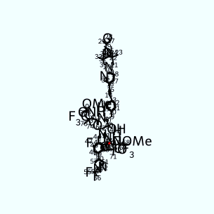 COC(=O)N[C@H](C(=O)N[C@@H](Cc1ccc(C#Cc2ccc(N3CC4(C)CN(C5COC5)CC(C)(C3)C4=O)nc2)cc1)[C@@H](O)CN(Cc1c(F)cc(-c2cnn(C(F)F)c2)cc1F)NC(=O)[C@@H](NC(=O)OC)C(C)(C)C(F)(F)F)C(C)(C)C(F)(F)F